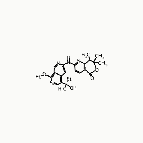 CCOc1ncc([C@](C)(O)CC)c2cc(Nc3ccc4c(n3)[C@@H](C)C(C)(C)OC4=O)ncc12